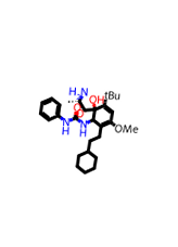 COC1=C(CCC2CCCCC2)C(NC(=O)Nc2ccccc2)C(O)(C(=O)[C@H](C)N)C(C(C)(C)C)=C1